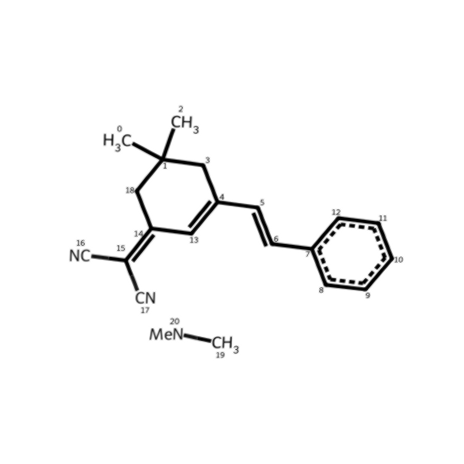 CC1(C)CC(C=Cc2ccccc2)=CC(=C(C#N)C#N)C1.CNC